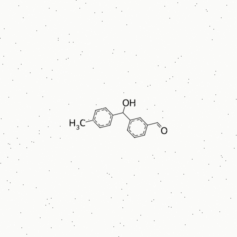 Cc1ccc(C(O)c2cccc(C=O)c2)cc1